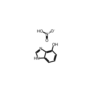 O=[N+]([O-])O.Oc1cccc2[nH]cnc12